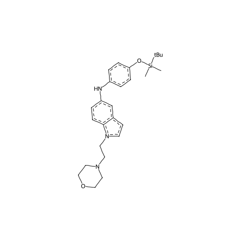 CC(C)(C)[Si](C)(C)Oc1ccc(Nc2ccc3c(ccn3CCN3CCOCC3)c2)cc1